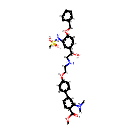 COC(=O)c1ccc(-c2ccc(OCCNC[C@H](O)c3ccc(OCc4ccccc4)c(NS(C)(=O)=O)c3)cc2)cc1N(C)C